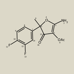 CC(=O)OC1=C(N)OC(C)(c2ccc(F)c(F)c2)C1=O